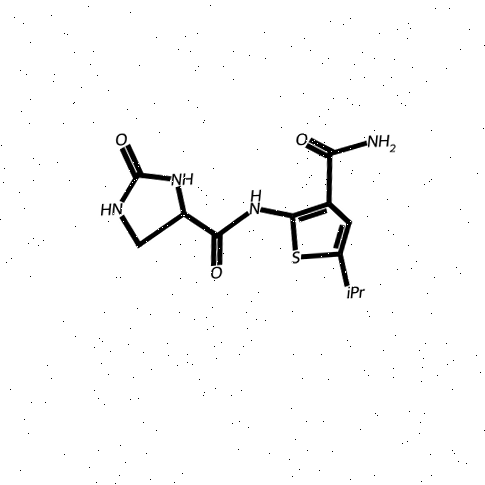 CC(C)c1cc(C(N)=O)c(NC(=O)C2CNC(=O)N2)s1